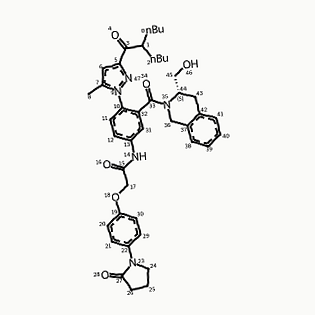 CCCCC(CCCC)C(=O)c1cc(C)n(-c2ccc(NC(=O)COc3ccc(N4CCCC4=O)cc3)cc2C(=O)N2Cc3ccccc3C[C@H]2CO)n1